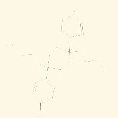 COCOC1(c2ccc(Br)cc2)CCC(OCOC)(c2ccc(Br)cc2)CC1